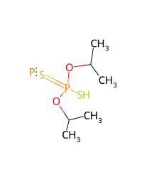 CC(C)OP(=S)(S)OC(C)C.[P]